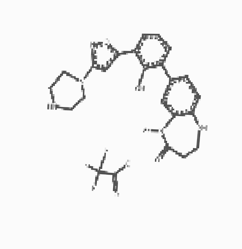 CC(=O)N1C(=O)CCNc2ccc(-c3cccc(-c4cc(N5CCNCC5)no4)c3O)cc21.O=C(O)C(F)(F)F